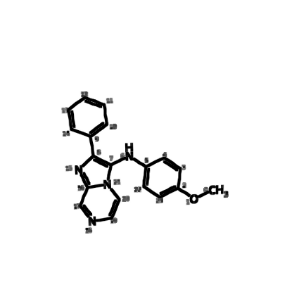 COc1ccc(Nc2c(-c3ccccc3)nc3cnccn23)cc1